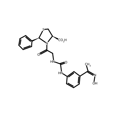 C/C(=N/O)c1cccc(NC(=O)NCC(=O)N2[C@@H](c3ccccc3)SC[C@H]2C(=O)O)c1